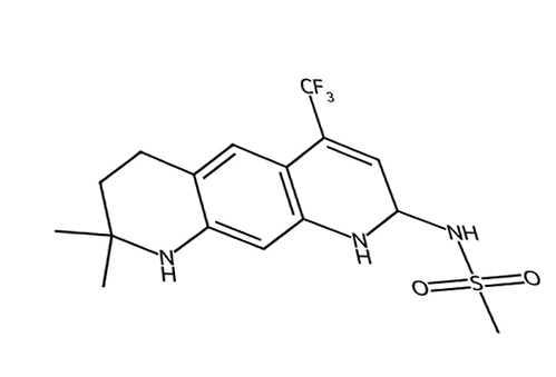 CC1(C)CCc2cc3c(cc2N1)NC(NS(C)(=O)=O)C=C3C(F)(F)F